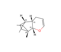 CC1(C)[C@@H]2CC[C@@]1(C)[C@H]1OC=CC[C@@H]21